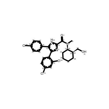 CN(C(=O)c1nc(-c2ccc(Cl)cc2Cl)c(-c2ccc(Cl)cc2)[nH]1)[C@@H]1CCCC[C@@H]1CO